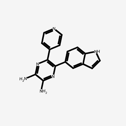 Nc1nc(-c2ccncc2)c(-c2ccc3[nH]ccc3c2)nc1N